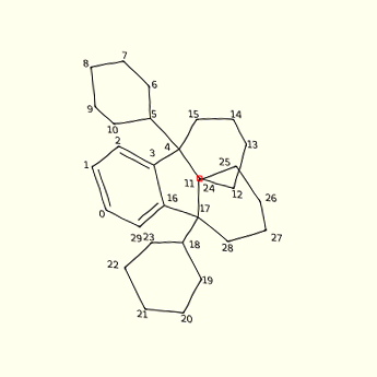 c1ccc(C2(C3CCCCC3)CCCCC2)c(C2(C3CCCCC3)CCCCC2)c1